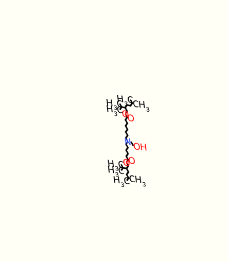 CC(C)CCC(COC(=O)CCCCCCCN(CCO)CCCCCC(=O)OCC(CCC(C)C)C(C)C)C(C)C